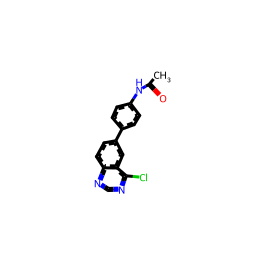 CC(=O)Nc1ccc(-c2ccc3ncnc(Cl)c3c2)cc1